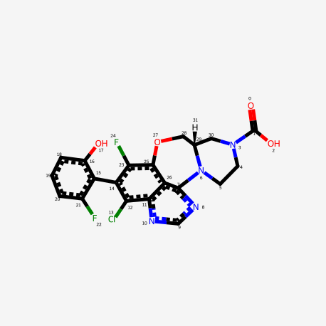 O=C(O)N1CCN2c3ncnc4c(Cl)c(-c5c(O)cccc5F)c(F)c(c34)OC[C@@H]2C1